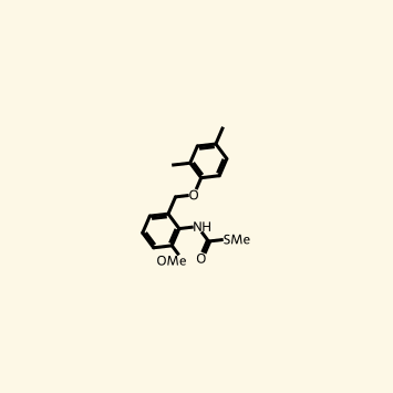 COc1cccc(COc2ccc(C)cc2C)c1NC(=O)SC